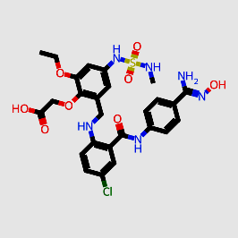 CCOc1cc(NS(=O)(=O)NC)cc(CNc2ccc(Cl)cc2C(=O)Nc2ccc(/C(N)=N/O)cc2)c1OCC(=O)O